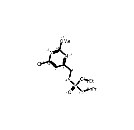 CCCSP(=O)(OCC)SCc1cc(Cl)nc(OC)n1